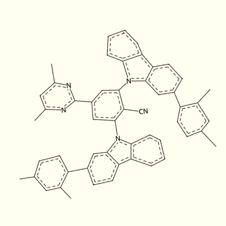 Cc1ccc(-c2ccc3c4ccccc4n(-c4cc(-c5nc(C)cc(C)n5)cc(-n5c6ccccc6c6ccc(-c7ccc(C)cc7C)cc65)c4C#N)c3c2)c(C)c1